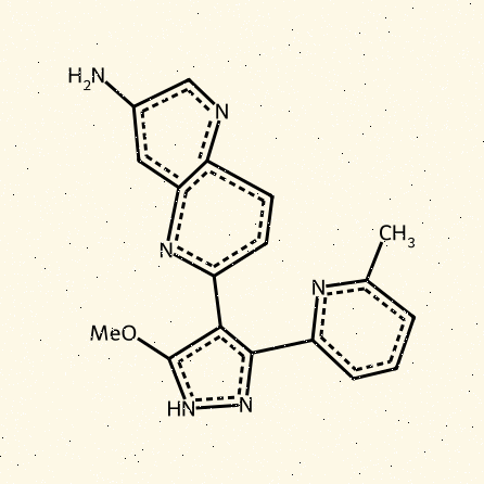 COc1[nH]nc(-c2cccc(C)n2)c1-c1ccc2ncc(N)cc2n1